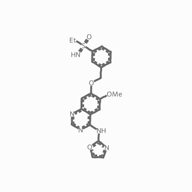 CCS(=N)(=O)c1cccc(COc2cc3ncnc(Nc4ncco4)c3cc2OC)c1